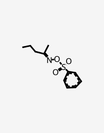 CCC/C(C)=N/OS(=O)(=O)c1ccccc1